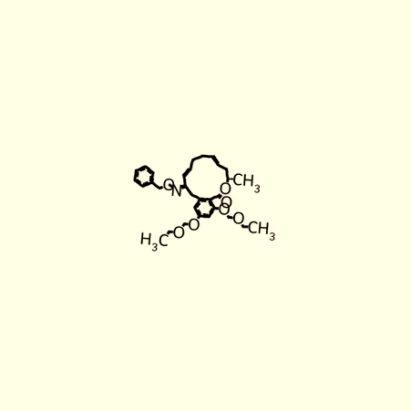 CCOCOc1cc2c(c(OCOCC)c1)C(=O)O[C@H](C)C/C=C/CC/C=C/C(=N\OCc1ccccc1)C2